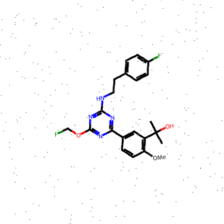 COc1ccc(-c2nc(NCCc3ccc(F)cc3)nc(OCF)n2)cc1C(C)(C)O